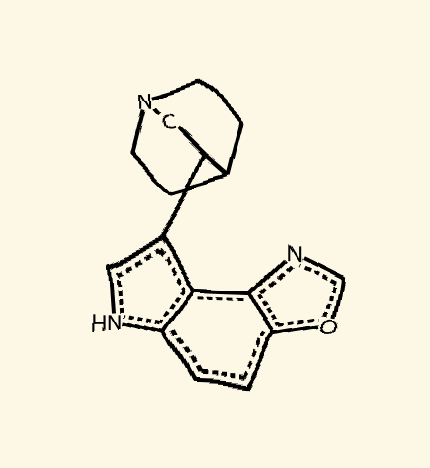 c1nc2c(ccc3[nH]cc(C4CN5CCC4CC5)c32)o1